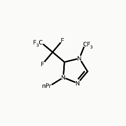 CCCN1N=CN(C(F)(F)F)C1C(F)(F)C(F)(F)F